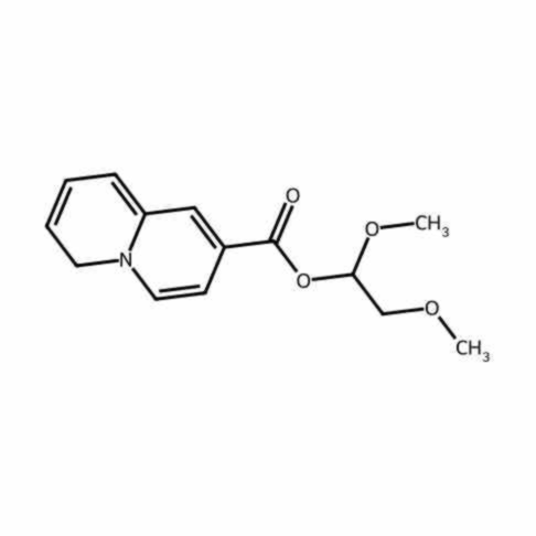 COCC(OC)OC(=O)C1=CC2=CC=CCN2C=C1